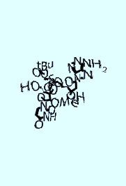 CO[C@H]1C(OP(=O)(OC[C@H]2O[C@@H](n3cnc4c(N)ncnc43)CC2O)SCOC(=O)C(C)(C)C)[C@@H](CO)O[C@H]1n1ccc(=O)[nH]c1=O